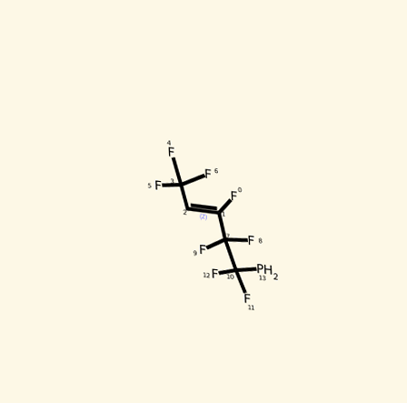 F/C(=C\C(F)(F)F)C(F)(F)C(F)(F)P